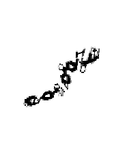 O=C(N=[N+]=Nc1ccc(C(=O)c2ccc(NC(=O)c3ccnnc3)cc2)cc1)c1ccc(N2CCOCC2)cc1